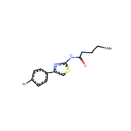 CSCCCC(=O)Nc1nc(-c2ccc(C#N)cc2)cs1